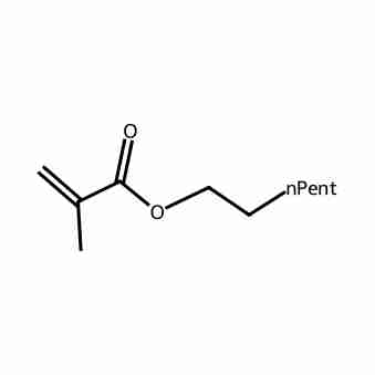 C=C(C)C(=O)OCCCCC[CH]C